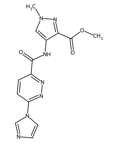 COC(=O)c1nn(C)cc1NC(=O)c1ccc(-n2ccnc2)nn1